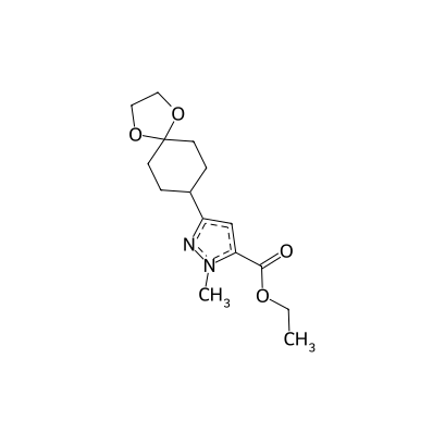 CCOC(=O)c1cc(C2CCC3(CC2)OCCO3)nn1C